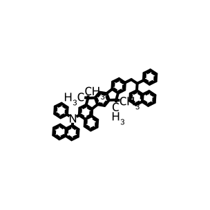 CC1(C)c2cc(CC(c3ccccc3)c3cccc4ccccc34)ccc2-c2cc3c(cc21)-c1c(cc(N(c2ccccc2)c2cccc4ccccc24)c2ccccc12)C3(C)C